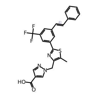 Cc1sc(-c2cc(/C=C/c3ccccc3)cc(C(F)(F)F)c2)nc1Cn1cc(C(=O)O)cn1